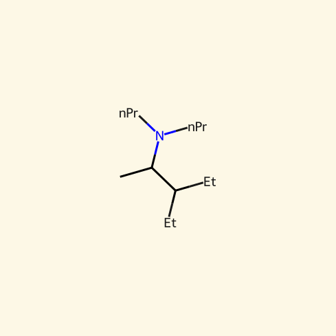 CCCN(CCC)C(C)C(CC)CC